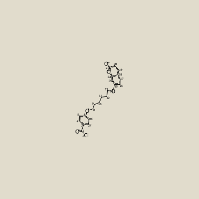 O=C(Cl)c1ccc(OCCCCCCOc2ccc3ccc(=O)oc3c2)cc1